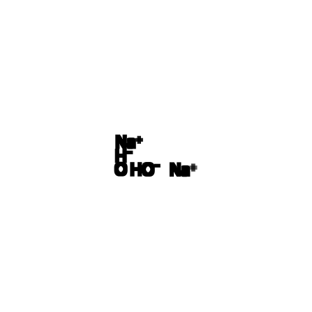 [Na+].[Na+].[OH-].[OH-]